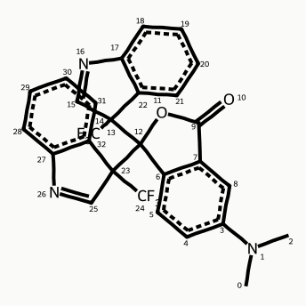 CN(C)c1ccc2c(c1)C(=O)OC2(C1(C(F)(F)F)C=Nc2ccccc21)C1(C(F)(F)F)C=Nc2ccccc21